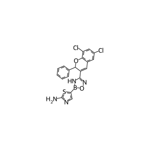 Nc1ncc(B2NC(C3=Cc4cc(Cl)cc(Cl)c4OC3c3ccccc3)=NO2)s1